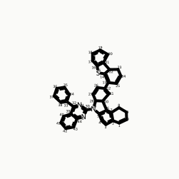 C1=Cc2ccc3c(c2CC1)C1C=C(C2=C4Sc5ccccc5C4CC=C2)C=CC1N3c1nc(-c2ccccc2)c2ccccc2n1